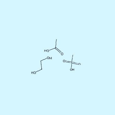 CC(=O)O.CS(=O)(=O)O.OCCO